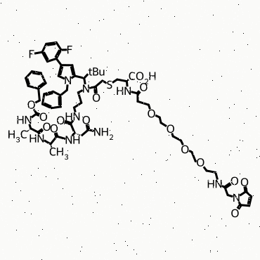 C[C@H](NC(=O)OCc1ccccc1)C(=O)N[C@@H](C)C(=O)N[C@@H](CC(N)=O)C(=O)NCCCN(C(=O)CSC[C@H](NC(=O)CCOCCOCCOCCOCCNC(=O)CN1C(=O)C=CC1=O)C(=O)O)C(c1cc(-c2cc(F)ccc2F)cn1Cc1ccccc1)C(C)(C)C